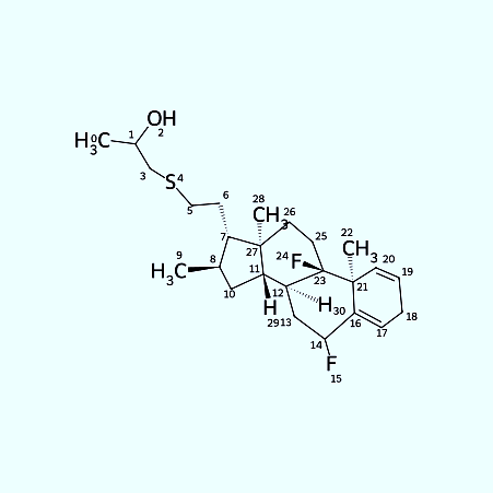 CC(O)CSCC[C@H]1[C@H](C)C[C@H]2[C@@H]3CC(F)C4=CCC=C[C@]4(C)[C@@]3(F)CC[C@]12C